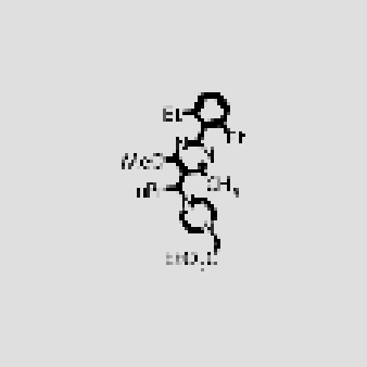 CCCC(c1c(C)nc(-c2c(CC)cccc2CC)nc1OC)N1CCN(CC(=O)OCC)CC1